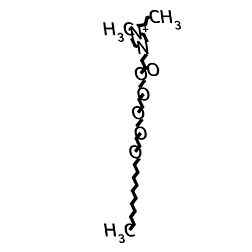 CCCCCCCCCCCCOCCOCCOCCOCCOC(=O)CCN1CC[N+](C)(CCCC)CC1